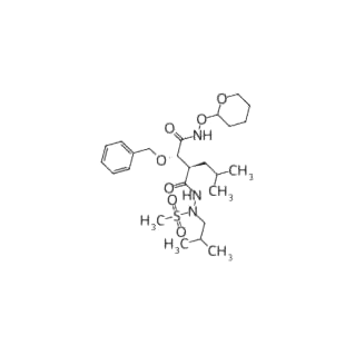 CC(C)C[C@@H](C(=O)NN(CC(C)C)S(C)(=O)=O)[C@H](OCc1ccccc1)C(=O)NOC1CCCCO1